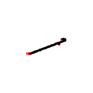 CCCC/C=C\CCCCCCCC(=O)OCCCCCCCCCCCCCCCCCCCCCCCCCCCCCCCCCCCO